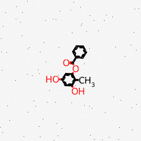 Cc1c(O)cc(O)cc1OC(=O)c1ccccc1